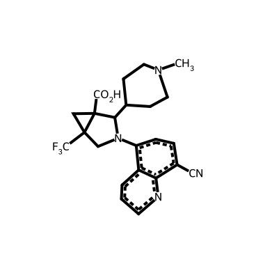 CN1CCC(C2N(c3ccc(C#N)c4ncccc34)CC3(C(F)(F)F)CC23C(=O)O)CC1